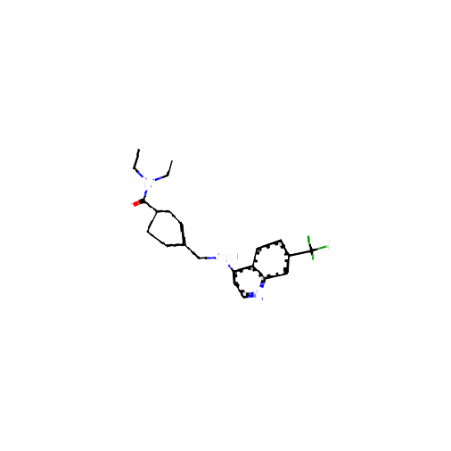 CCN(CC)C(=O)C1CCC(CNc2ccnc3cc(C(F)(F)F)ccc23)CC1